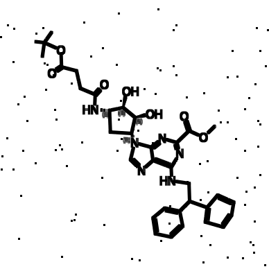 COC(=O)c1nc(NCC(c2ccccc2)c2ccccc2)c2ncn([C@@H]3C[C@H](NC(=O)CCC(=O)OC(C)(C)C)[C@@H](O)[C@H]3O)c2n1